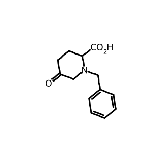 O=C1CCC(C(=O)O)N(Cc2ccccc2)C1